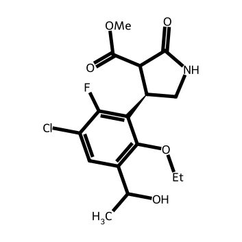 CCOc1c(C(C)O)cc(Cl)c(F)c1[C@@H]1CNC(=O)C1C(=O)OC